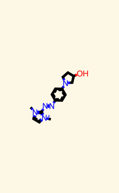 Cn1cc[n+](C)c1N=Nc1ccc(N2CCC(O)C2)cc1